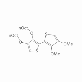 CCCCCCCCOc1csc(-c2scc(OC)c2OC)c1OCCCCCCCC